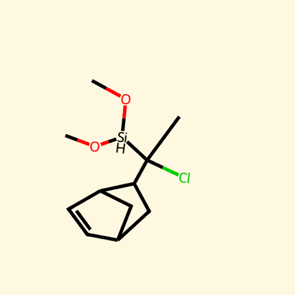 CO[SiH](OC)C(C)(Cl)C1CC2C=CC1C2